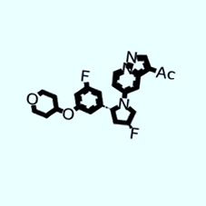 CC(=O)c1cnn2ccc(N3C[C@@H](F)C[C@@H]3c3cc(F)cc(OC4CCOCC4)c3)cc12